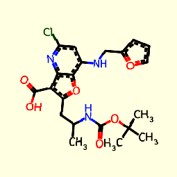 CC(Cc1oc2c(NCc3ccco3)cc(Cl)nc2c1C(=O)O)NC(=O)OC(C)(C)C